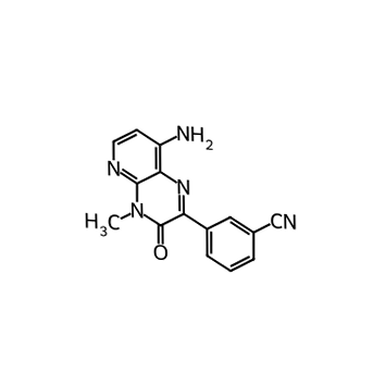 Cn1c(=O)c(-c2cccc(C#N)c2)nc2c(N)ccnc21